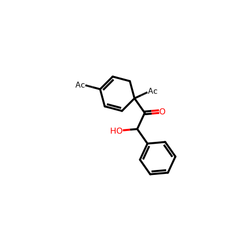 CC(=O)C1=CCC(C(C)=O)(C(=O)C(O)c2ccccc2)C=C1